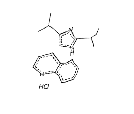 CC(C)c1c[nH]c(C(C)C)n1.Cl.c1ccc2ncccc2c1